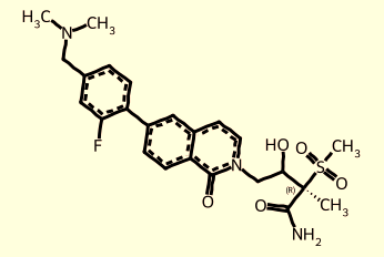 CN(C)Cc1ccc(-c2ccc3c(=O)n(CC(O)[C@](C)(C(N)=O)S(C)(=O)=O)ccc3c2)c(F)c1